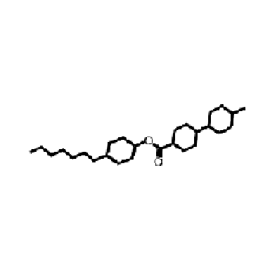 CCCCCCCC1CCC(OC(=O)C2CCC(C3CCC(C)CC3)CC2)CC1